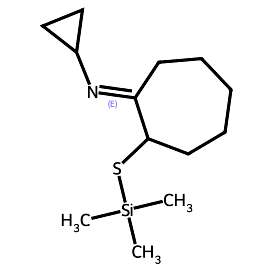 C[Si](C)(C)SC1CCCCC/C1=N\C1CC1